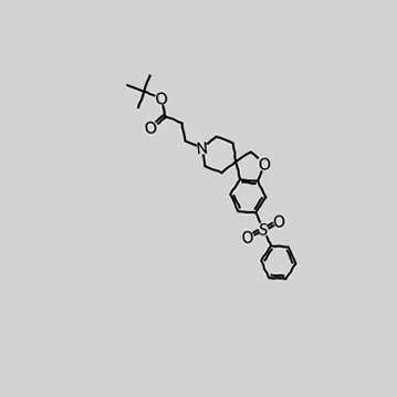 CC(C)(C)OC(=O)CCN1CCC2(CC1)COc1cc(S(=O)(=O)c3ccccc3)ccc12